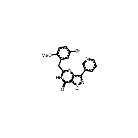 COc1ccc(Br)cc1Cc1nc2c(-c3cccnc3)n[nH]c2c(=O)[nH]1